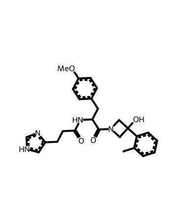 COc1ccc(CC(NC(=O)CCc2c[nH]cn2)C(=O)N2CC(O)(c3ccccc3C)C2)cc1